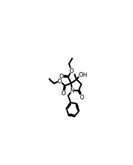 CCOC(=O)C1(C(=O)OCC)N(Cc2ccccc2)C(=O)CC1(C)O